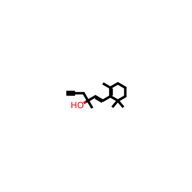 C#CCC(C)(O)C=CC1=C(C)CCCC1(C)C